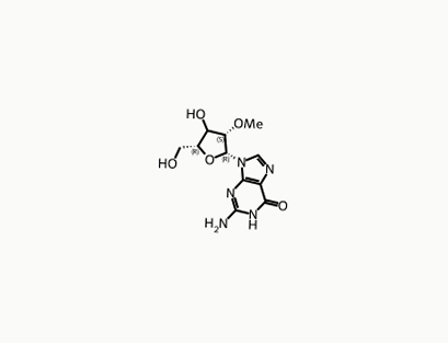 CO[C@H]1C(O)[C@@H](CO)O[C@H]1n1cnc2c(=O)[nH]c(N)nc21